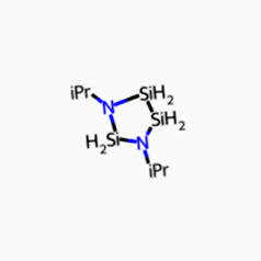 CC(C)N1[SiH2][SiH2]N(C(C)C)[SiH2]1